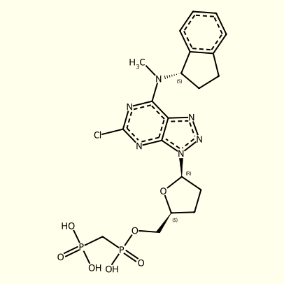 CN(c1nc(Cl)nc2c1nnn2[C@H]1CC[C@@H](COP(=O)(O)CP(=O)(O)O)O1)[C@H]1CCc2ccccc21